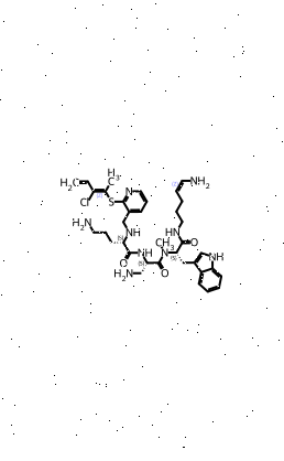 C=C/C(Cl)=C(\C)Sc1ncccc1CN[C@@H](CCCN)C(=O)N[C@@H](CN)C(=O)N(C)[C@@H](Cc1c[nH]c2ccccc12)C(=O)NCCC/C=C\N